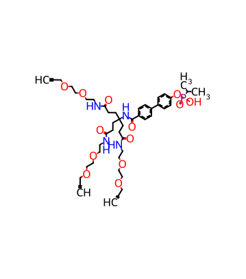 C#CCOCCOCCNC(=O)CCC(CCC(=O)NCCOCCOCC#C)(CCC(=O)NCCOCCOCC#C)NC(=O)c1ccc(-c2ccc(OP(=O)(O)C(C)C)cc2)cc1